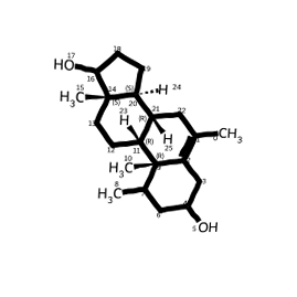 CC1=C2CC(O)CC(C)[C@]2(C)[C@@H]2CC[C@]3(C)C(O)CC[C@H]3[C@@H]2C1